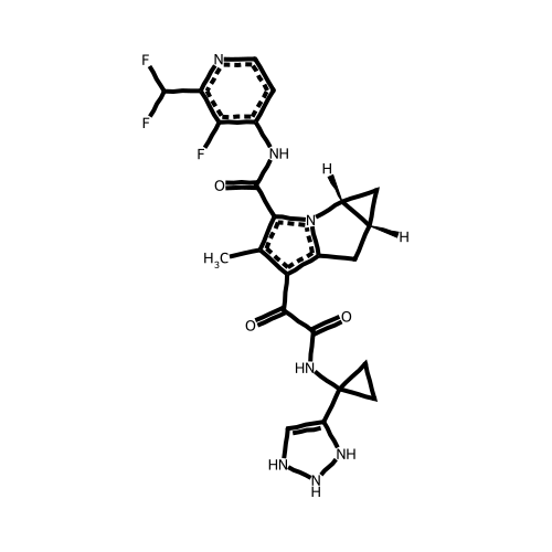 Cc1c(C(=O)C(=O)NC2(C3=CNNN3)CC2)c2n(c1C(=O)Nc1ccnc(C(F)F)c1F)[C@@H]1C[C@@H]1C2